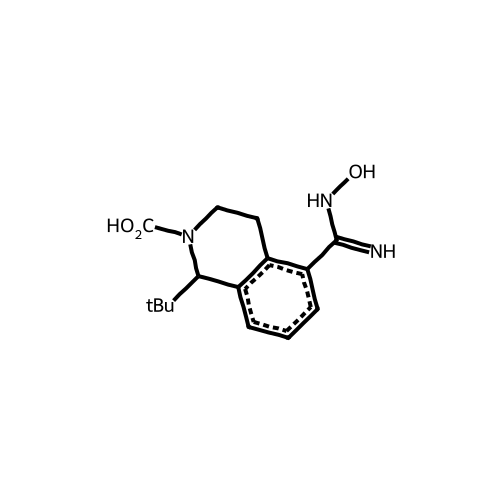 CC(C)(C)C1c2cccc(C(=N)NO)c2CCN1C(=O)O